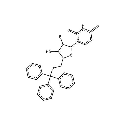 O=c1ccn(C2OC(COC(c3ccccc3)(c3ccccc3)c3ccccc3)C(O)C2F)c(=O)[nH]1